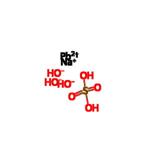 O=S(=O)(O)O.[Na+].[OH-].[OH-].[OH-].[Pb+2]